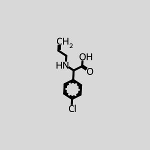 C=CCNC(C(=O)O)c1ccc(Cl)cc1